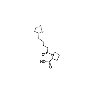 O=C(O)[C@@H]1CCCN1C(=O)CCCCC1CCSS1